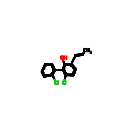 CC=Cc1ccc(Cl)c(-c2ccccc2Cl)c1O